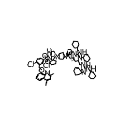 Cc1cc(C)c2cccc(OCc3c(Cl)ccc(S(=O)(=O)NC4(C(=O)N5CCN(C(=O)C[C@H](CCCNC(=NC6CCCCC6)NC6CCCCC6)NC(=NC6CCCCC6)NC6CCCCC6)CC5)CCCC4)c3Cl)c2n1